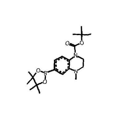 CN1CCN(C(=O)OC(C)(C)C)c2ccc(B3OC(C)(C)C(C)(C)O3)cc21